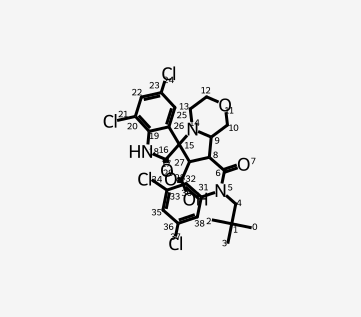 CC(C)(C)CN(C(=O)C1C2COCCN2C2(C(=O)Nc3c(Cl)cc(Cl)cc32)C1C(=O)O)c1cc(Cl)cc(Cl)c1